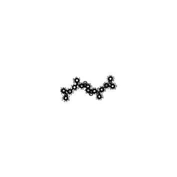 c1ccc(N(c2ccc(-c3ccc4c(c3)c3ccccc3n4-c3ccccc3)cc2)c2ccc3c(c2)oc2ccc4c(ccc5oc6cc(N(c7ccccc7)c7ccc(-c8ccc9c(c8)c8ccccc8n9-c8ccccc8)cc7)ccc6c54)c23)cc1